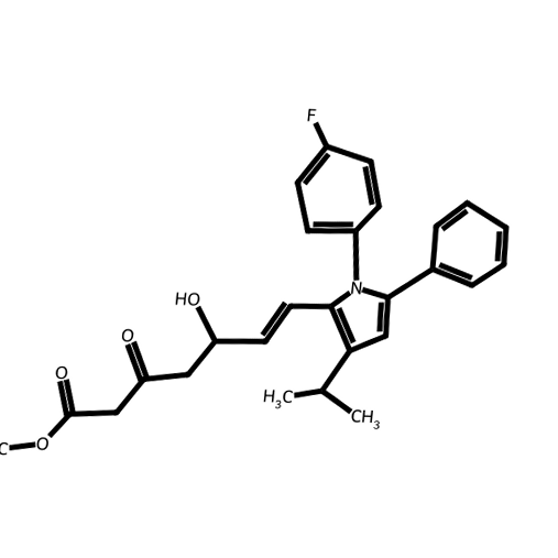 COC(=O)CC(=O)CC(O)/C=C/c1c(C(C)C)cc(-c2ccccc2)n1-c1ccc(F)cc1